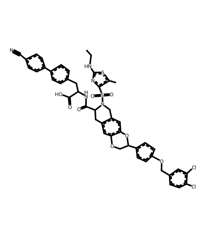 CCNc1nc(S(=O)(=O)N2Cc3cc4c(cc3CC2C(=O)NC(Cc2ccc(-c3ccc(C#N)cc3)cc2)C(=O)O)OCC(c2ccc(OCc3ccc(Cl)c(Cl)c3)cc2)O4)c(C)s1